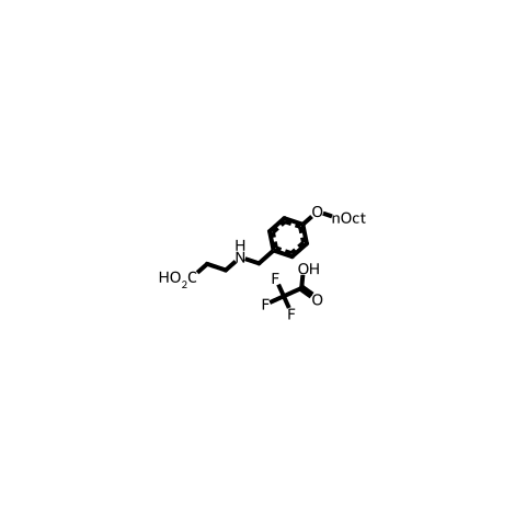 CCCCCCCCOc1ccc(CNCCC(=O)O)cc1.O=C(O)C(F)(F)F